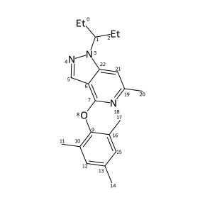 CCC(CC)n1ncc2c(Oc3c(C)cc(C)cc3C)nc(C)cc21